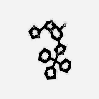 Clc1cc(-c2cnn(C(c3ccccc3)(c3ccccc3)c3ccccc3)c2)cn2c(-c3nccs3)cnc12